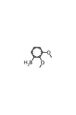 Bc1cccc(OC)c1OC